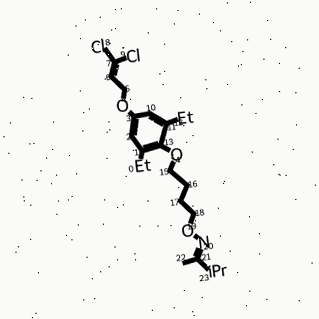 CCc1cc(OCC=C(Cl)Cl)cc(CC)c1OCCCCO/N=C(\C)C(C)C